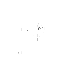 CCCCCCCCCC(=O)NC(CS(=O)(=O)O)C(=O)NCCO.[NaH]